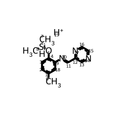 Cc1ccc(O[SiH](C)C)c(N=Cc2cnccn2)c1.[H+]